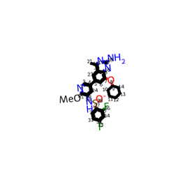 COc1ncc(-c2cc(OC3CCCCC3)c3nc(N)nc(C)c3c2)cc1N[S+]([O-])c1ccc(F)cc1F